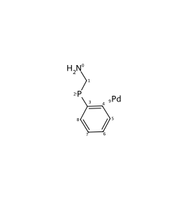 NC[P]c1ccccc1.[Pd]